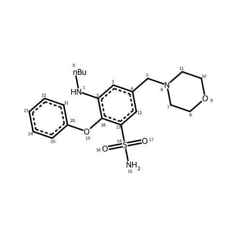 CCCCNc1cc(CN2CCOCC2)cc(S(N)(=O)=O)c1Oc1ccccc1